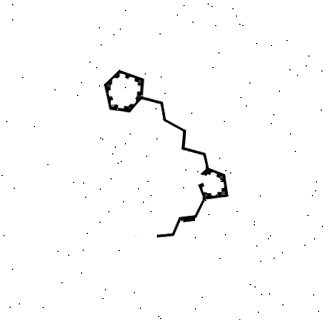 O=C(O)CC=Cc1ccc(CCCCCc2ccccc2)s1